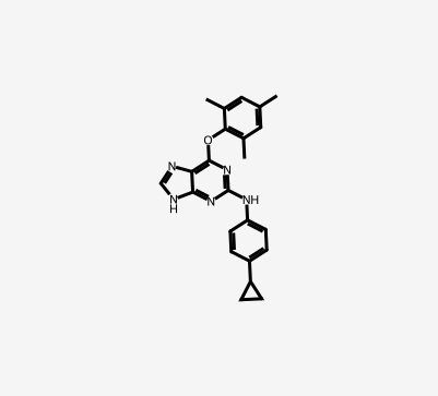 Cc1cc(C)c(Oc2nc(Nc3ccc(C4CC4)cc3)nc3[nH]cnc23)c(C)c1